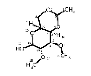 CO[C@@H]1[C@@H]2OC(C)OC[C@H]2OC(O)[C@H]1OC